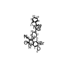 COc1cc2c(cc1Br)c(N1CCC(c3nc(-c4ccccc4C)no3)CC1)c(C#N)c(=O)n2C